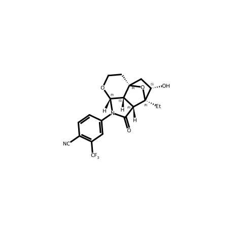 CC[C@@]12O[C@]3(CCO[C@@H]4[C@H]3[C@H]1C(=O)N4c1ccc(C#N)c(C(F)(F)F)c1)C[C@@H]2O